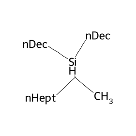 CCCCCCCCCC[SiH](CCCCCCCCCC)C(C)CCCCCCC